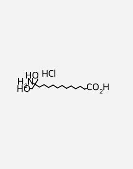 Cl.NC(CO)(CO)CCCCCCCCCCCC(=O)O